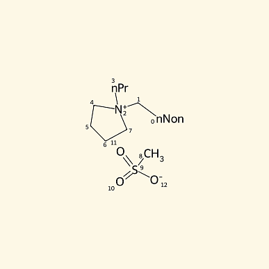 CCCCCCCCCC[N+]1(CCC)CCCC1.CS(=O)(=O)[O-]